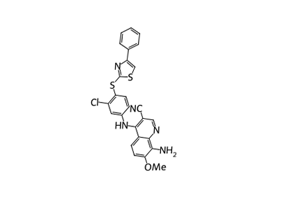 COc1ccc2c(Nc3ccc(Sc4nc(-c5ccccc5)cs4)c(Cl)c3)c(C#N)cnc2c1N